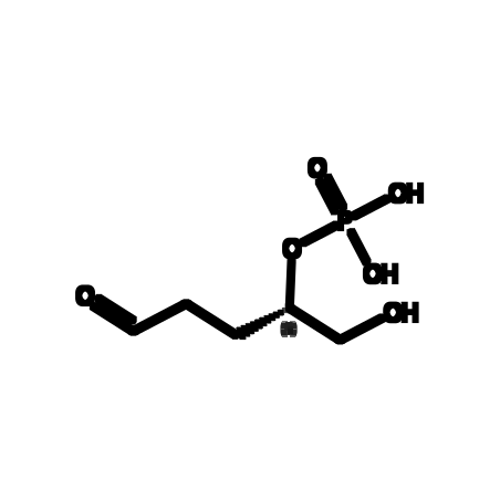 O=CCC[C@@H](CO)OP(=O)(O)O